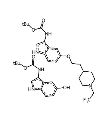 CC(C)(C)OC(=O)Nc1c[nH]c2ccc(O)cc12.CC(C)(C)OC(=O)Nc1c[nH]c2ccc(OCCC3CCN(CC(F)(F)F)CC3)cc12